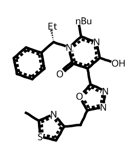 CCCCc1nc(O)c(-c2nnc(Cc3csc(C)n3)o2)c(=O)n1[C@@H](CC)c1ccccc1